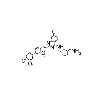 COc1cc(-c2ccc(OC)c(OC)c2)ccc1C=Cc1nc(NCC2CCCC(CN)C2)c2ccc(Cl)cc2n1